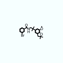 COc1cc(C(C)(C)CNC(=O)c2cccc(Br)c2)cc2c1OC(C)(C)C2